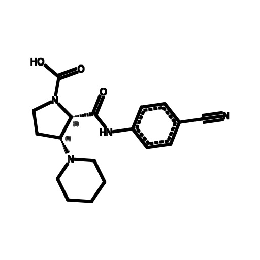 N#Cc1ccc(NC(=O)[C@@H]2[C@H](N3CCCCC3)CCN2C(=O)O)cc1